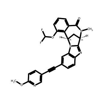 COc1ccc(C#Cc2ccc3nc4n(c3c2)[C@@H]2C[C@H]4N(C)C(=O)c3cccc(OC(F)F)c32)cn1